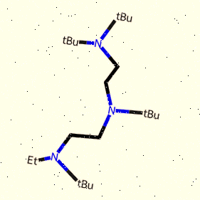 CCN(CCN(CCN(C(C)(C)C)C(C)(C)C)C(C)(C)C)C(C)(C)C